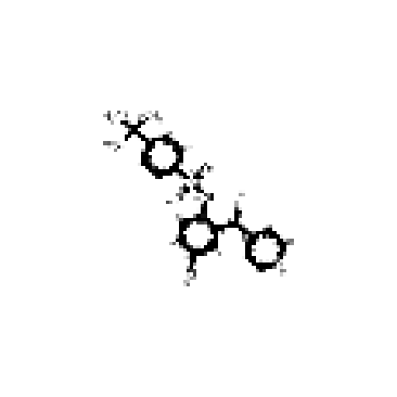 CC(C)(C)c1ccc(S(=O)(=O)Nc2ccc(Cl)cc2C(Cl)c2ccncc2)cc1